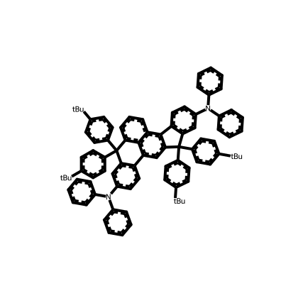 CC(C)(C)c1ccc(C2(c3ccc(C(C)(C)C)cc3)c3cc(N(c4ccccc4)c4ccccc4)ccc3-c3c2cc2c4c(cccc34)C(c3ccc(C(C)(C)C)cc3)(c3ccc(C(C)(C)C)cc3)c3cc(N(c4ccccc4)c4ccccc4)ccc3-2)cc1